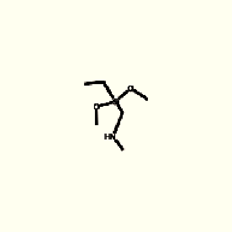 CC[Si](CNC)(OC)OC